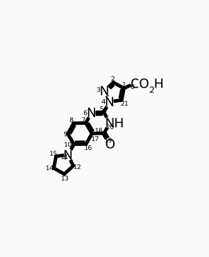 O=C(O)c1cnn(-c2nc3ccc(N4CCCC4)cc3c(=O)[nH]2)c1